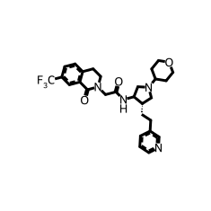 O=C(CN1CCc2ccc(C(F)(F)F)cc2C1=O)NC1CN(C2CCOCC2)C[C@@H]1CCc1cccnc1